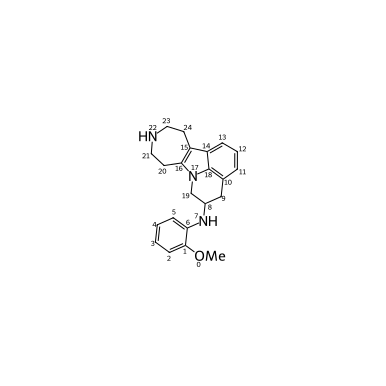 COc1ccccc1NC1Cc2cccc3c4c(n(c23)C1)CCNCC4